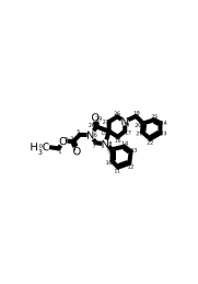 CCOC(=O)CN1CN(c2ccccc2)C2(CCN(Cc3ccccc3)CC2)C1=O